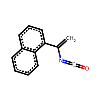 C=C(N=C=O)c1cccc2ccccc12